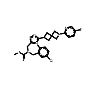 COC(=O)N1Cc2cc(Cl)ccc2-n2c(nnc2C2CC3(C2)CN(c2ccc(F)cn2)C3)C1